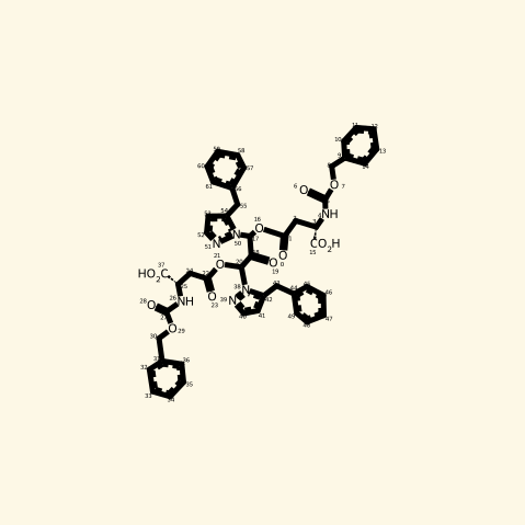 O=C(C[C@H](NC(=O)OCc1ccccc1)C(=O)O)OC(C(=O)C(OC(=O)C[C@H](NC(=O)OCc1ccccc1)C(=O)O)n1nccc1Cc1ccccc1)n1nccc1Cc1ccccc1